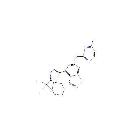 CC(O)(c1ncc(-c2cc(Nc3nccc(C(F)(F)F)n3)cc3[nH]ncc23)s1)C1(C(=O)O)CCCCC1